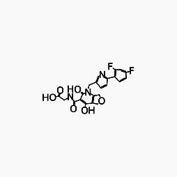 O=C(O)CNC(=O)c1c(O)c2c(n(Cc3ccc(-c4ccc(F)cc4F)nc3)c1=O)COC2